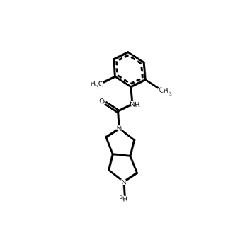 [2H]N1CC2CN(C(=O)Nc3c(C)cccc3C)CC2C1